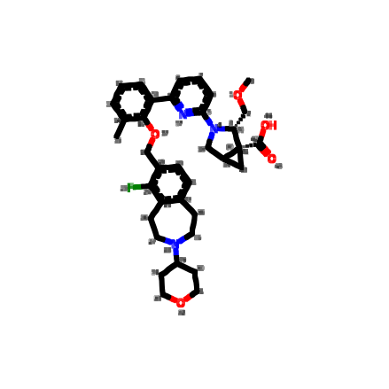 COC[C@H]1N(c2cccc(-c3cccc(C)c3OCc3ccc4c(c3F)CCN(C3CCOCC3)CC4)n2)CC2C[C@@]21C(=O)O